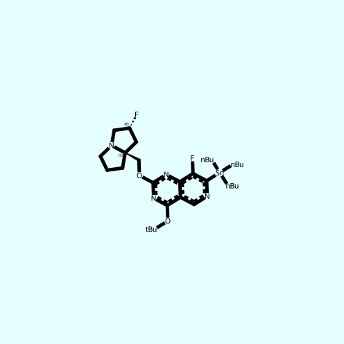 CCC[CH2][Sn]([CH2]CCC)([CH2]CCC)[c]1ncc2c(OC(C)(C)C)nc(OC[C@@]34CCCN3C[C@H](F)C4)nc2c1F